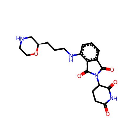 O=C1CCC(N2C(=O)c3cccc(NCCC[C@@H]4CNCCO4)c3C2=O)C(=O)N1